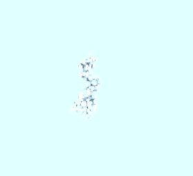 CCC(=O)Nc1cc(C(C)(C)C)cc(NC(=O)c2cc3cccc(CN4CCN(C(=O)[C@@H]5CCCN5C)CC4)c3n2C)c1OC